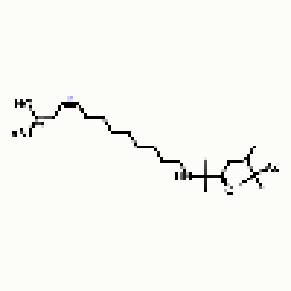 CCCC[C@@H](O)C/C=C\CCCCCCCCNC(C)(C)C(=O)CN(C)C(C)(C)C(C)=O